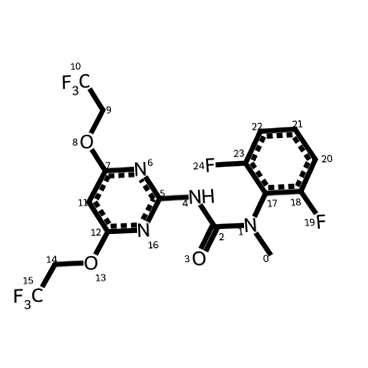 CN(C(=O)Nc1nc(OCC(F)(F)F)cc(OCC(F)(F)F)n1)c1c(F)cccc1F